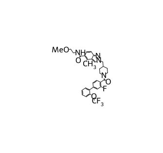 COCCNC(=O)c1ccc2nn(CC3CCN(C(=O)c4ccc(-c5ccccc5OC(F)(F)F)cc4F)CC3)cc2c1C